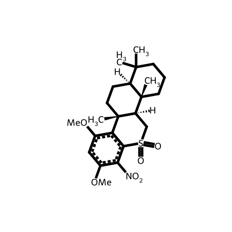 COc1cc(OC)c2c(c1[N+](=O)[O-])S(=O)(=O)C[C@@H]1[C@@]3(C)CCCC(C)(C)[C@@H]3CC[C@@]21C